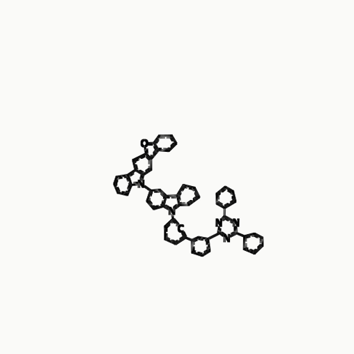 c1ccc(-c2nc(-c3ccccc3)nc(-c3cccc(-c4cccc(-n5c6ccccc6c6cc(-n7c8ccccc8c8cc9oc%10ccccc%10c9cc87)ccc65)c4)c3)n2)cc1